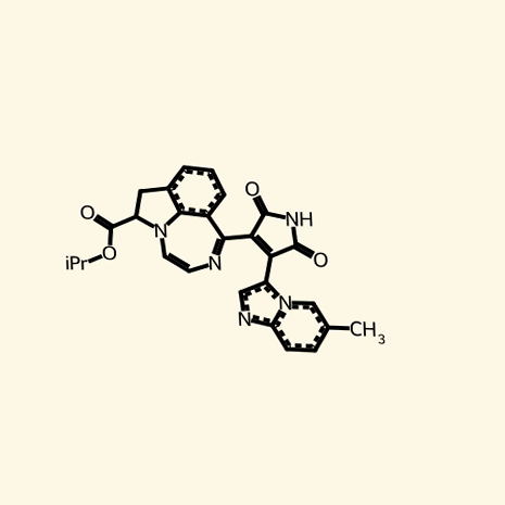 Cc1ccc2ncc(C3=C(C4=NC=CN5c6c(cccc64)CC5C(=O)OC(C)C)C(=O)NC3=O)n2c1